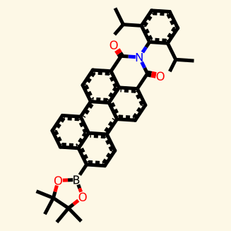 CC(C)c1cccc(C(C)C)c1N1C(=O)c2ccc3c4cccc5c(B6OC(C)(C)C(C)(C)O6)ccc(c6ccc(c2c36)C1=O)c54